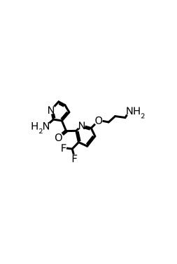 NCCCOc1ccc(C(F)F)c(C(=O)c2cccnc2N)n1